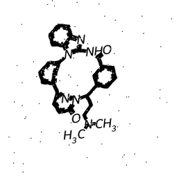 CN(C)CCC1c2cccc(c2)C(=O)Nc2nc3ccccc3n2-c2cccc(c2)-c2ccc(=O)n1n2